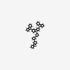 c1cc(-c2cccc(-n3c4ccc(-n5c6ccccc6c6ccccc65)cc4c4cc(-n5c6ccccc6c6ccccc65)ccc43)c2)cc(-c2ccc3oc4ccccc4c3c2)c1